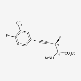 CCOC(=O)[C@H](NC(C)=O)[C@H](F)C#Cc1ccc(F)c(C(F)(F)F)c1